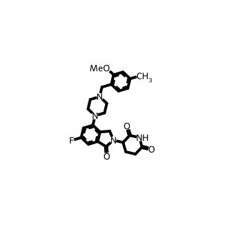 COc1cc(C)ccc1CN1CCN(c2cc(F)cc3c2CN(C2CCC(=O)NC2=O)C3=O)CC1